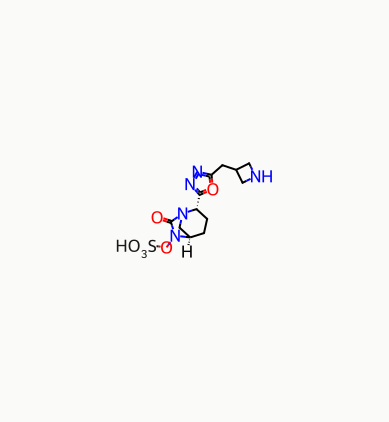 O=C1N2C[C@@H](CC[C@H]2c2nnc(CC3CNC3)o2)N1OS(=O)(=O)O